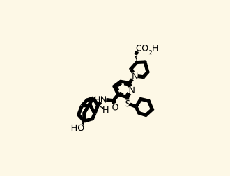 O=C(O)C[C@@H]1CCCN(c2ccc(C(=O)N[C@H]3C4CC5CC3C[C@@](O)(C5)C4)c(SC3CCCCC3)n2)C1